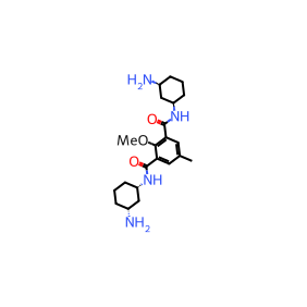 COc1c(C(=O)N[C@@H]2CCC[C@H](N)C2)cc(C)cc1C(=O)N[C@H]1CCC[C@@H](N)C1